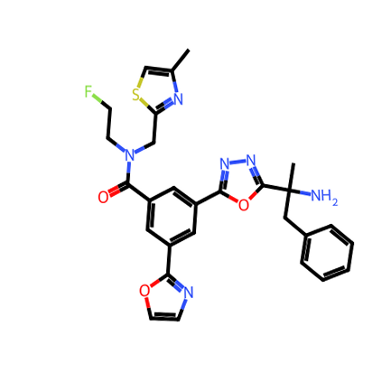 Cc1csc(CN(CCF)C(=O)c2cc(-c3ncco3)cc(-c3nnc(C(C)(N)Cc4ccccc4)o3)c2)n1